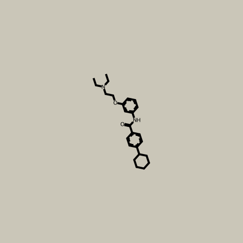 CCN(CC)CCOc1cccc(NC(=O)c2ccc(C3CCCCC3)cc2)c1